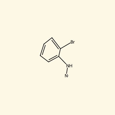 [N]Nc1ccccc1Br